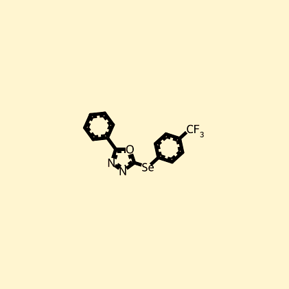 FC(F)(F)c1ccc([Se]c2nnc(-c3ccccc3)o2)cc1